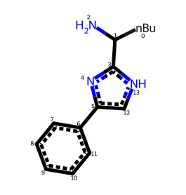 CCCCC(N)c1nc(-c2ccccc2)c[nH]1